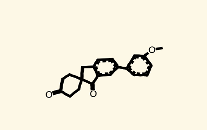 COc1cccc(-c2ccc3c(c2)C(=O)C2(CCC(=O)CC2)C3)c1